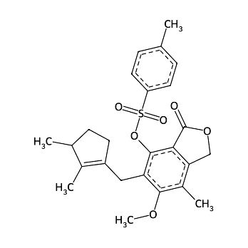 COc1c(C)c2c(c(OS(=O)(=O)c3ccc(C)cc3)c1CC1=C(C)C(C)CC1)C(=O)OC2